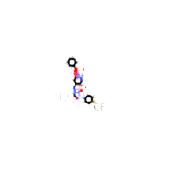 CC1C(=O)N(c2ccc(SC(F)(F)F)cc2)C(=O)N1Cc1ccnc(OC(=O)c2ccccc2)c1